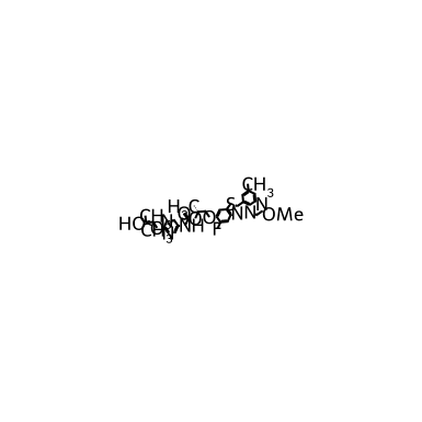 COc1cnc2c(-c3nc4cc(F)c(OC[C@@H](C)OC(=O)Nc5cnc(OCC(C)(C)O)nc5)cc4s3)cc(C)cc2n1